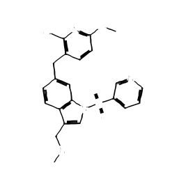 CNCc1cn(S(=O)(=O)c2cccnc2)c2cc(Cc3ccc(OC)nc3Cl)ccc12